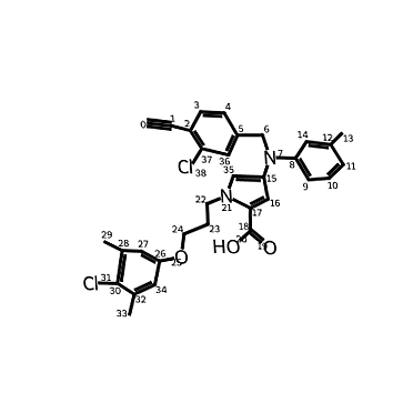 C#Cc1ccc(CN(c2cccc(C)c2)c2cc(C(=O)O)n(CCCOc3cc(C)c(Cl)c(C)c3)c2)cc1Cl